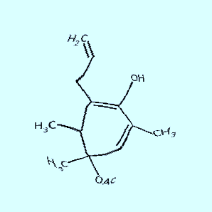 C=CCC1=C(O)C(C)=CC(C)(OC(C)=O)C1C